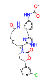 COC(=O)Nc1ccc2c(c1)NC(=O)CCCC[C@H](N1CCC(c3cccc(Cl)c3)OC1=O)c1nc-2c[nH]1